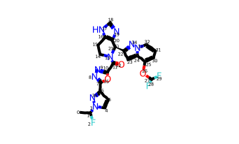 CC(F)n1ccc(-c2nnc(C(=O)N3CCc4[nH]cnc4[C@H]3c3cc4c(OC(F)F)cccn4n3)o2)n1